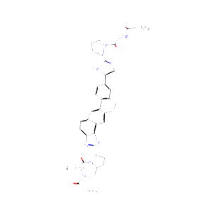 COC(=O)NCC(=O)N1CCC[C@H]1c1ncc(-c2ccc3c(c2)COc2cc4c(ccc5nc([C@@H]6CCC(C)N6C(=O)[C@@H](NC(=O)OC)C(C)C)[nH]c54)cc2-3)[nH]1